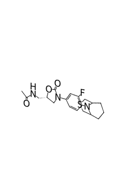 CC(=O)NC[C@H]1CN(c2ccc(N3C4CCCC3CSC4)c(F)c2)C(=O)O1